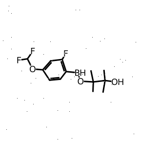 CC(C)(O)C(C)(C)OBc1ccc(OC(F)F)cc1F